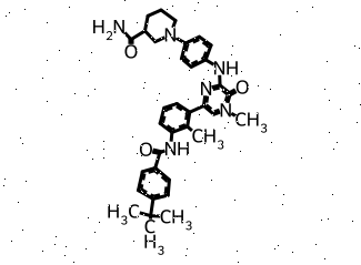 Cc1c(NC(=O)c2ccc(C(C)(C)C)cc2)cccc1-c1cn(C)c(=O)c(Nc2ccc(N3CCCC(C(N)=O)C3)cc2)n1